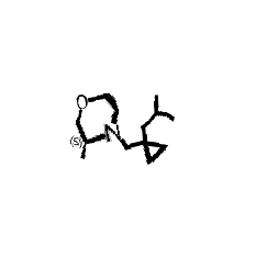 CC(C)CC1(CN2CCOC[C@@H]2C)CC1